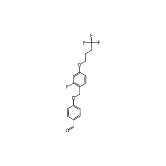 O=Cc1ccc(OCc2ccc(OCCCC(F)(F)F)cc2F)cc1